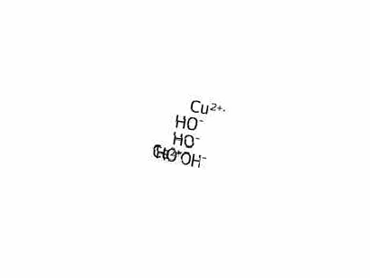 [Ca+2].[Cu+2].[OH-].[OH-].[OH-].[OH-]